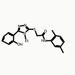 CCn1c(SCC(=O)Nc2cc(C)ccc2C)nnc1-c1ccccc1O